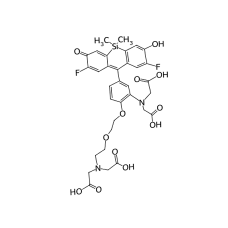 C[Si]1(C)C2=CC(=O)C(F)=CC2=C(c2ccc(OCCOCCN(CC(=O)O)CC(=O)O)c(N(CC(=O)O)CC(=O)O)c2)c2cc(F)c(O)cc21